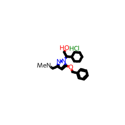 CNCc1cc(OCc2ccccc2)n(C(CO)C2CCCCC2)n1.Cl